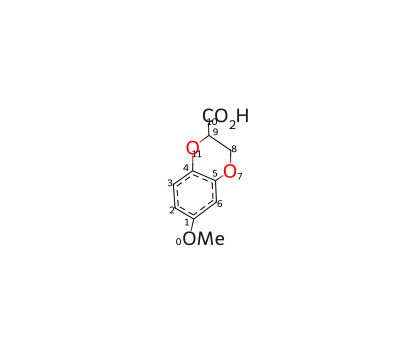 COc1ccc2c(c1)OCC(C(=O)O)O2